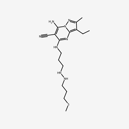 CCc1c(C)nn2c(N)c(C#N)c(NCCCNNCCCSC)nc12